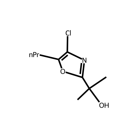 CCCc1oc(C(C)(C)O)nc1Cl